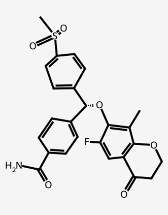 Cc1c(O[C@H](c2ccc(C(N)=O)cc2)c2ccc(S(C)(=O)=O)cc2)c(F)cc2c1OCCC2=O